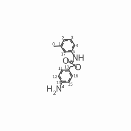 Cc1cccc(NS(=O)(=O)c2ccc(N)cc2)c1